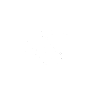 CCCCCOC(=O)OC(C)C(C)C(c1ccc(OC(=O)CC)c(OC(=O)CC)c1)[C@H](N)C(=O)O